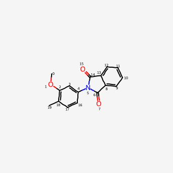 COc1cc(N2C(=O)c3ccccc3C2=O)ccc1C